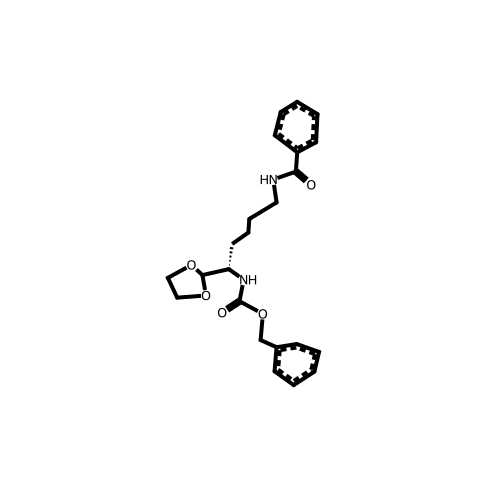 O=C(N[C@@H](CCCCNC(=O)c1ccccc1)C1OCCO1)OCc1ccccc1